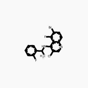 CC(Nc1c(Cl)cnc2ccc(Br)c(F)c12)c1ccccc1F